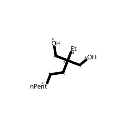 CCCCCCCC(CC)(CO)CO